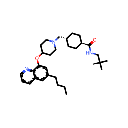 CCCCc1cc(OC2CCN(C[C@H]3CC[C@H](C(=O)NCC(C)(C)C)CC3)CC2)c2ncccc2c1